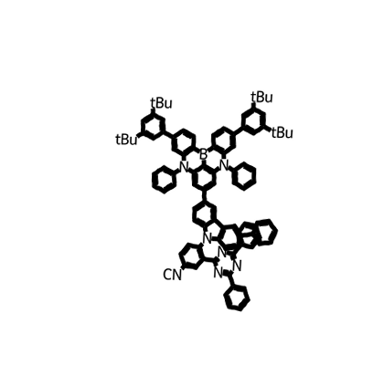 [C-]#[N+]c1ccc(-n2c3ccc(-c4ccccc4)cc3c3cc(-c4cc5c6c(c4)N(c4ccccc4)c4cc(-c7cc(C(C)(C)C)cc(C(C)(C)C)c7)ccc4B6c4ccc(-c6cc(C(C)(C)C)cc(C(C)(C)C)c6)cc4N5c4ccccc4)ccc32)c(-c2nc(-c3ccccc3)nc(-c3ccccc3)n2)c1